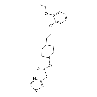 CCOc1ccccc1OCCC1CCN(OC(=O)Cc2cscn2)CC1